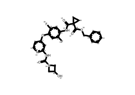 O=C(Nc1cc(Oc2cc(F)c(NC(=O)C3(C(=O)OCc4ccccc4)CC3)cc2F)ccn1)N1CC(O)C1